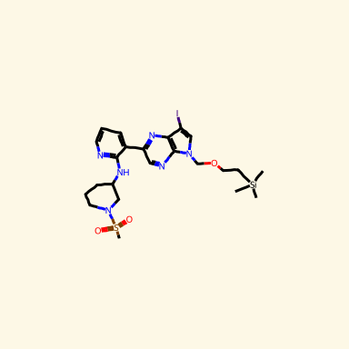 C[Si](C)(C)CCOCn1cc(I)c2nc(-c3cccnc3NC3CCCN(S(C)(=O)=O)C3)cnc21